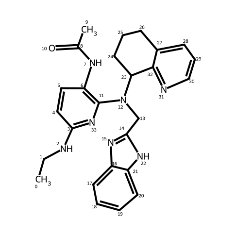 CCNc1ccc(NC(C)=O)c(N(Cc2nc3ccccc3[nH]2)C2CCCc3cccnc32)n1